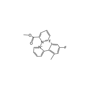 COC(=O)c1cccc[n+]1-[n+]1ccccc1-c1c(C)cc(F)cc1F